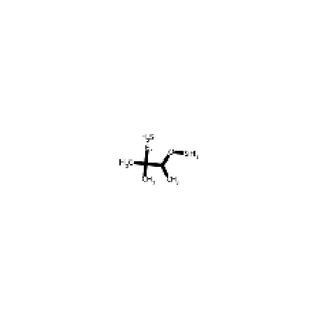 CCC(C)(C)C(C)O[SiH3].S